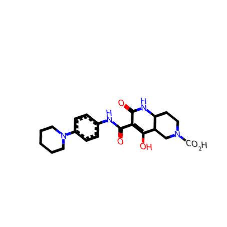 O=C(Nc1ccc(N2CCCCC2)cc1)C1=C(O)C2CN(C(=O)O)CCC2NC1=O